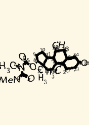 CNC(=O)N(C)C(=O)O[C@H]1CCC2C3C(CC[C@@]21C)[C@@]1(C)CCC(=O)C=C1C[C@@H]3C